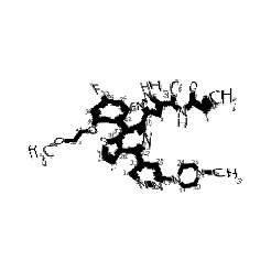 C=CC(=O)NC(C)c1cc(-c2nc(-c3cnnc(N4CCN(C)CC4)c3)c3ccsc3c2-c2c(F)cc(F)cc2OCCOC)n[nH]1